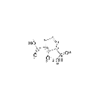 CC1=C(C(=O)O)CC=CC1C(=O)O